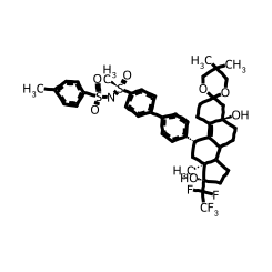 Cc1ccc(S(=O)(=O)N=[S@](C)(=O)c2ccc(-c3ccc([C@H]4C[C@@]5(C)C(CC[C@@]5(O)C(F)(F)C(F)(F)F)C5CC[C@@]6(O)CC7(CCC6=C54)OCC(C)(C)CO7)cc3)cc2)cc1